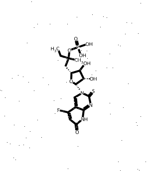 CCC(C)(C[C@H]1O[C@@H](n2cc3c(F)cc(=O)[nH]c3nc2=S)[C@@H](O)C1O)OP(=O)(O)O